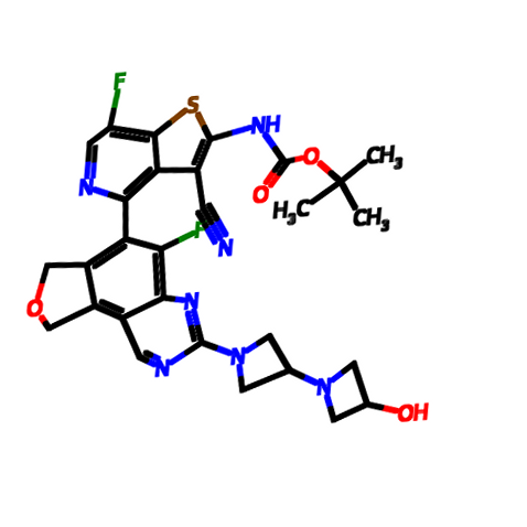 CC(C)(C)OC(=O)Nc1sc2c(F)cnc(-c3c4c(c5cnc(N6CC(N7CC(O)C7)C6)nc5c3F)COC4)c2c1C#N